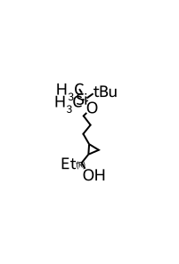 CC[C@@H](O)C1CC1CCCO[Si](C)(C)C(C)(C)C